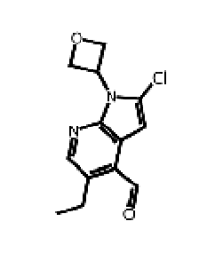 CCc1cnc2c(cc(Cl)n2C2COC2)c1C=O